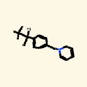 [2H]C([2H])(c1cc[c]([Ir+][N]2C=CC=CC2)cc1)C(C)(C)C